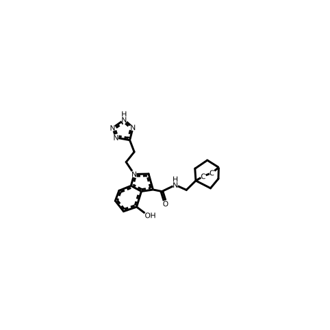 O=C(NCC12CCC(CC1)CC2)c1cn(CCc2nn[nH]n2)c2cccc(O)c12